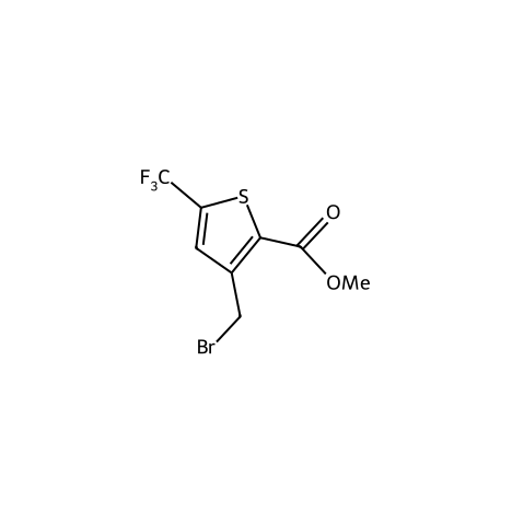 COC(=O)c1sc(C(F)(F)F)cc1CBr